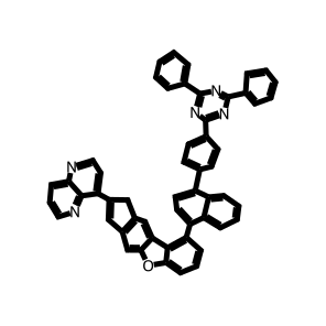 C1=C(c2ccnc3cccnc23)Cc2cc3c(cc21)oc1cccc(-c2ccc(-c4ccc(-c5nc(-c6ccccc6)nc(-c6ccccc6)n5)cc4)c4ccccc24)c13